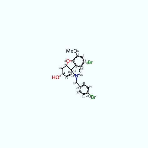 COc1cc(Br)c2c3c1OC1C[C@@H](O)C=CC31CN(Cc1ccc(Br)cc1)CC2